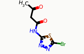 CC(=O)CC(=O)Nc1nnc(Br)s1